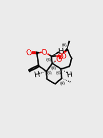 C=C1C(=O)O[C@@H]2O[C@@]3(C)CC[C@H]4[C@H](C)CC[C@@H]1[C@@]24OO3